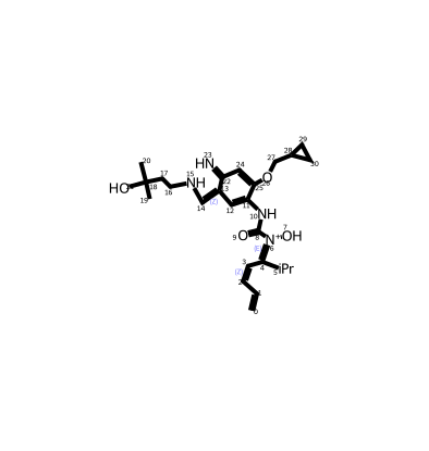 C=C/C=C\C(C(C)C)=[N+](\O)C(=O)NC1=C/C(=C/NCCC(C)(C)O)C(=N)C=C1OCC1CC1